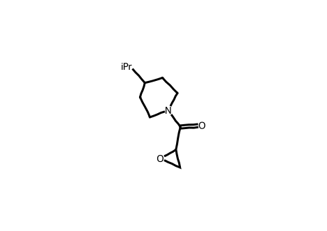 CC(C)C1CCN(C(=O)C2CO2)CC1